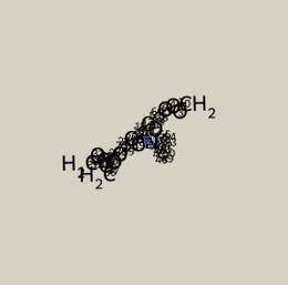 C=CC(=O)OCOc1ccc(C(=O)Oc2ccc(C(=O)Oc3ccc(OCC(COC(=O)C=C)OC(=O)C=C)cc3)c(/C=N/CC3c4ccccc4-c4ccccc43)c2)cc1